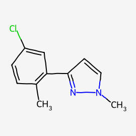 Cc1ccc(Cl)cc1-c1ccn(C)n1